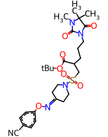 CN1C(=O)N(CCCC(CS(=O)(=O)N2CCC(=NOc3ccc(C#N)cc3)CC2)C(=O)OC(C)(C)C)C(=O)C1(C)C